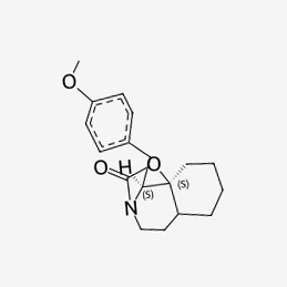 COc1ccc(C[C@@H]2N3CCC4CCCC[C@]42OC3=O)cc1